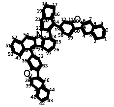 c1ccc2cc3c(cc2c1)oc1cc(-c2c4ccccc4cc4c2c2cccc5c6c(-c7ccc8c(c7)oc7cc9ccccc9cc78)c7ccccc7cc6n4c25)ccc13